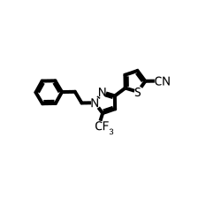 N#Cc1ccc(-c2cc(C(F)(F)F)n(CCc3ccccc3)n2)s1